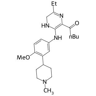 CCCCC(=O)C1=C(Nc2ccc(OC)c(C3CCN(C)CC3)c2)NCC(CC)=N1